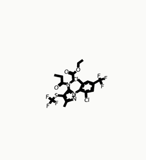 CCOC(=O)CN(C(=O)CC)c1c(SC(F)(F)F)c(C)nn1-c1c(Cl)cc(C(F)(F)F)cc1Cl